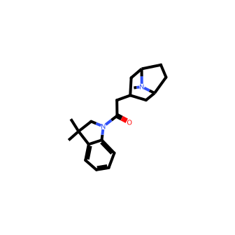 CN1C2CCC1CC(CC(=O)N1CC(C)(C)c3ccccc31)C2